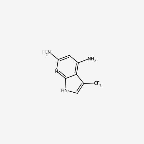 Nc1cc(N)c2c(C(F)(F)F)c[nH]c2n1